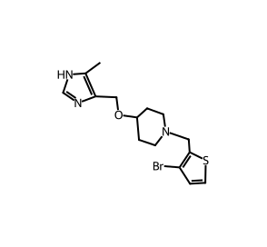 Cc1[nH]cnc1COC1CCN(Cc2sccc2Br)CC1